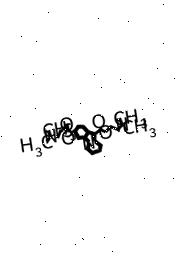 CN(C)CCOC(=O)c1c2ccc(S(=O)(=O)CCN(C)C)cc2n2ccccc12